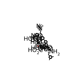 CCc1cc(OCCCCN=[N+]=[N-])ccc1-c1ccc(C[C@H](NC(=O)[C@H](CC(=O)O)NC(=O)[C@H](CO)NC(=O)[C@@H](NC(=O)[C@](C)(Cc2ccccc2F)NC(=O)[C@@H](N)[C@@H](C)O)[C@@H](C)O)C(=O)N[C@@H](CCCc2cc(C)cc(C)c2)C(N)=O)cc1